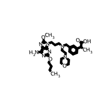 CCCCOc1nc(N)c2nc(OC)n(CCCN(CCN3CCOCC3)Cc3cccc(C(C)C(=O)O)c3)c2n1